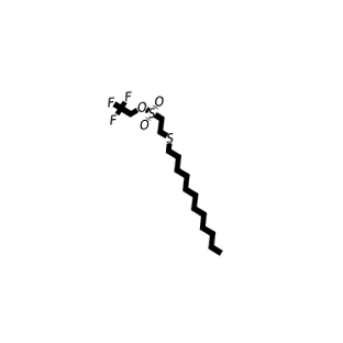 CCCCCCCCCCCCSCCS(=O)(=O)OCC(F)(F)F